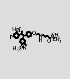 CCC(=C(c1ccc(OCCNCC=CC(=O)N(C)C)cc1)c1ccc2c(cnn2C)c1)c1ccc(F)cc1Cl